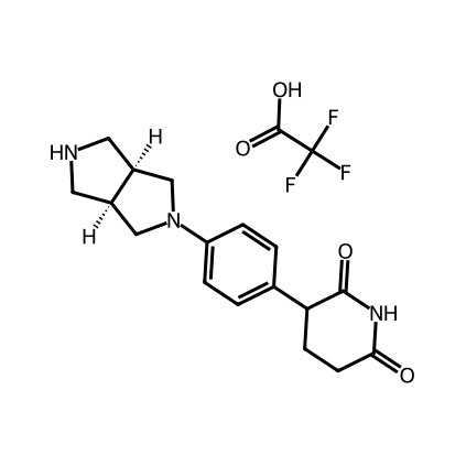 O=C(O)C(F)(F)F.O=C1CCC(c2ccc(N3C[C@H]4CNC[C@H]4C3)cc2)C(=O)N1